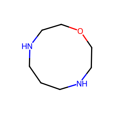 C1CNCCOCCNC1